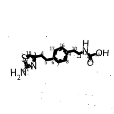 Nc1nc(CCc2ccc(CCNC(=O)O)cc2)cs1